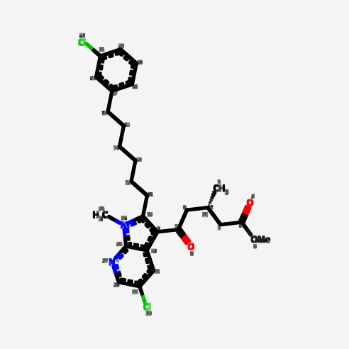 COC(=O)C[C@@H](C)CC(=O)c1c(CCCCCCc2cccc(Cl)c2)n(C)c2ncc(Cl)cc12